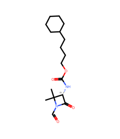 CC1(C)[C@H](NC(=O)OCCCCC2CCCCC2)C(=O)N1C=O